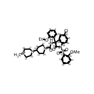 CCOc1ccccc1C1(NC(=O)N2CCC(N3CCN(C)CC3)CC2)C(=O)N(S(=O)(=O)c2ccccc2OC)c2ccc(Cl)cc21